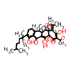 CC(=O)C1=C(O)C(C(C)C)[C@@]2(C)[C@H](O)[C@]3(C)C(=C(O)[C@@]2(O)C1=O)C(=O)c1c(ccc(C(C)(C)CCCC(C)C)c1O)[C@H]3C